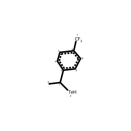 CC([TeH])c1ccc(C(F)(F)F)cc1